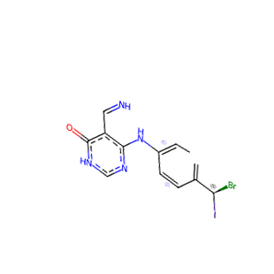 C=C(/C=C\C(=C/C)Nc1nc[nH]c(=O)c1C=N)[C@@H](Br)I